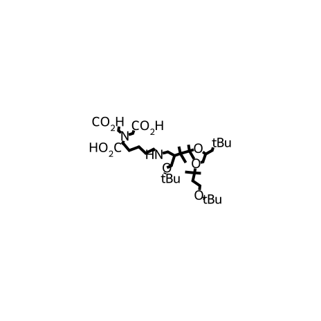 CC(C)(C)CC(COC(C)(C)CCOC(C)(C)C)OC(C)(C)C(C)(C)C(CNCCCCC(C(=O)O)N(CC(=O)O)CC(=O)O)COC(C)(C)C